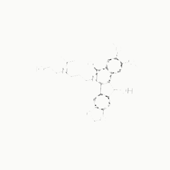 COc1cc2c3c(n(CCCN(CCO)C(C)C)c(=O)c2cc1OC)-c1cc2c(cc1C3O)OCO2